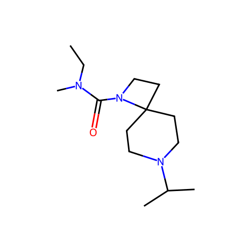 CCN(C)C(=O)N1CCC12CCN(C(C)C)CC2